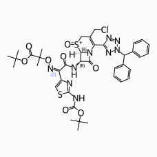 CC(C)(C)OC(=O)Nc1nc(/C(=N/OC(C)(C)C(=O)OC(C)(C)C)C(=O)N[C@@H]2C(=O)N3C(c4nnn(C(c5ccccc5)c5ccccc5)n4)=C(CCl)C[S+]([O-])[C@H]23)cs1